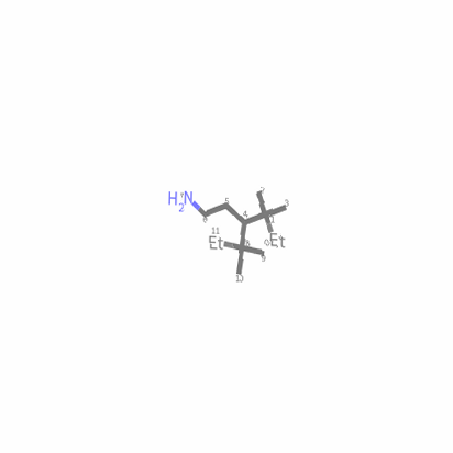 CCC(C)(C)C(CCN)C(C)(C)CC